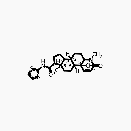 CN1C(=O)C=C[C@@]2(C)C1CC[C@@H]1[C@H]2CC[C@]2(C)C(C(=O)Nc3nccs3)CC[C@@H]12